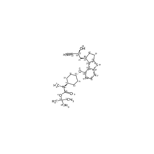 CN(C(=O)OC(C)(C)C)[C@H]1CC[C@H](Oc2ncnc3sc4c(c23)[C@@H](C[C@H](O)C#N)CC4)CC1